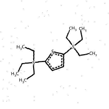 CCS(CC)(CC)c1ccc(S(CC)(CC)CC)s1